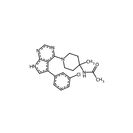 CC(=O)NC1(C)CCN(c2ncnc3[nH]cc(-c4cccc(Cl)c4)c23)CC1